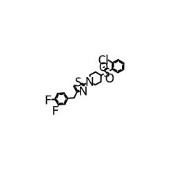 O=S(=O)(c1ccccc1Cl)C1CCN(c2nc(Cc3ccc(F)c(F)c3)cs2)CC1